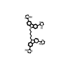 C1=CC(C2=NCCN2)CC2=C1C(CCCCCn1c3ccc(C4=NCCN4)cc3c3cc(C4=NCCN4)ccc31)c1ccc(C3=NCCN3)cc12